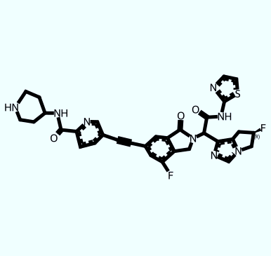 O=C(NC1CCNCC1)c1ccc(C#Cc2cc(F)c3c(c2)C(=O)N(C(C(=O)Nc2nccs2)c2ncn4c2C[C@@H](F)C4)C3)cn1